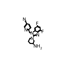 N#Cc1ccc(Cn2c(N3CCCC(N)C3)nc3c(F)cc(F)cc32)nc1